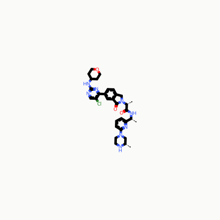 C[C@H](C(=O)N[C@H](C)c1cccc(N2CCN[C@@H](C)C2)n1)N1Cc2ccc(-c3nc(NC4CCOCC4)ncc3Cl)cc2C1=O